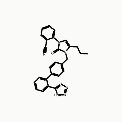 CCCc1cn(-c2ccccc2C#N)c(=O)n1Cc1ccc(-c2ccccc2-c2nnn[nH]2)cc1